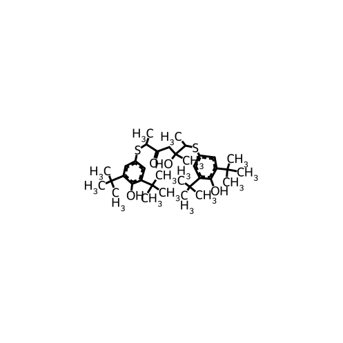 CC(Sc1cc(C(C)(C)C)c(O)c(C(C)(C)C)c1)C(=O)CC(C)(O)C(C)Sc1cc(C(C)(C)C)c(O)c(C(C)(C)C)c1